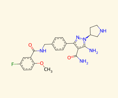 COc1ccc(F)cc1C(=O)NCc1ccc(-c2nn([C@H]3CCNC3)c(N)c2C(N)=O)cc1